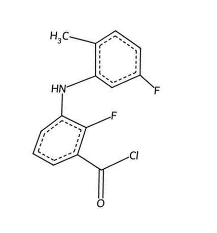 Cc1ccc(F)cc1Nc1cccc(C(=O)Cl)c1F